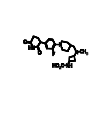 CN(CC1CCN(c2ccc(C3CCC(=O)NC3=O)cc2F)CC1)C1CC(NC(=O)O)C1